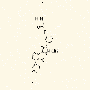 Cl.NCC(=O)OCc1cccc(-c2nnc(-c3cccc(-c4ccccc4)c3Cl)o2)c1